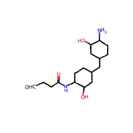 NC1CCC(CC2CCC(NC(=O)CCC=O)C(O)C2)CC1O